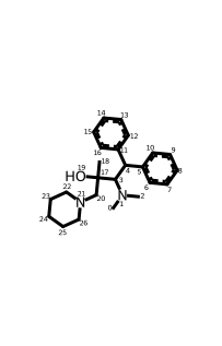 CN(C)C(C(c1ccccc1)c1ccccc1)C(C)(O)CN1CCCCC1